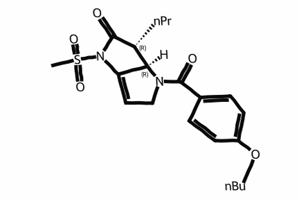 CCCCOc1ccc(C(=O)N2CC=C3[C@H]2[C@@H](CCC)C(=O)N3S(C)(=O)=O)cc1